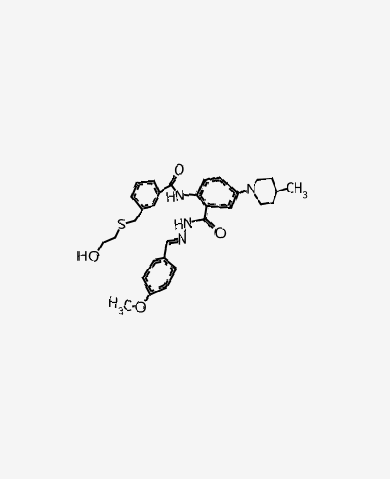 COc1ccc(/C=N/NC(=O)c2cc(N3CCC(C)CC3)ccc2NC(=O)c2cccc(CSCCO)c2)cc1